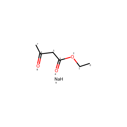 CCOC(=O)CC(C)=O.[NaH]